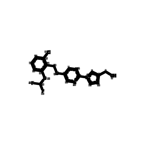 OCc1cn(-c2ncc(OCc3c(Cl)cccc3OC(F)F)cn2)cn1